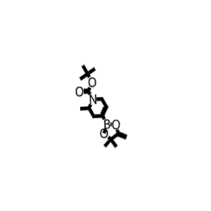 C=C1OB(C2=CCN(C(=O)OC(C)(C)C)C(C)C2)OC1(C)C